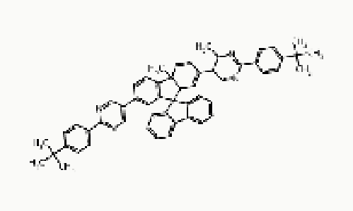 CC1N=C(c2ccc(C(C)(C)C)cc2)N=CC1C1=CC2C(C)(C=C1)c1ccc(-c3cnc(-c4ccc(C(C)(C)C)cc4)nc3)cc1C21c2ccccc2-c2ccccc21